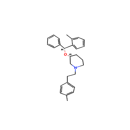 Cc1ccc(CCN2CCC[C@@H](O[C@H](c3ccccc3)c3ccccc3C)C2)cc1